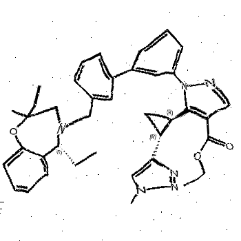 CCOC(=O)c1cnn(-c2cccc(-c3cccc(CN4CC(C)(C)Oc5ccccc5[C@H]4CC)c3)c2)c1[C@@H]1C[C@H]1c1cn(C)nn1